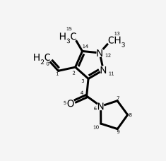 C=Cc1c(C(=O)N2CCCC2)nn(C)c1C